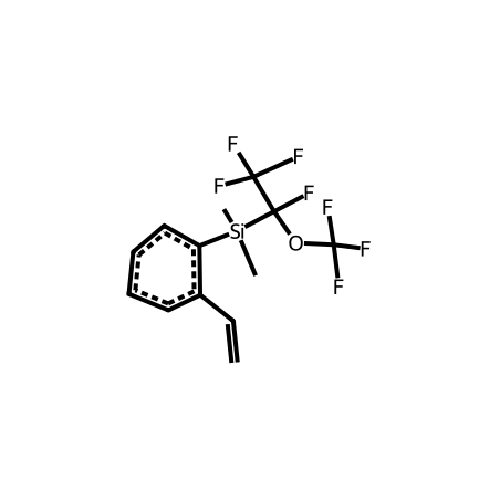 C=Cc1ccccc1[Si](C)(C)C(F)(OC(F)(F)F)C(F)(F)F